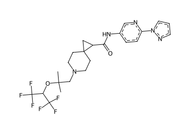 CC(C)(CN1CCC2(CC1)CC2C(=O)Nc1ccc(-n2cccn2)nc1)OC(C(F)(F)F)C(F)(F)F